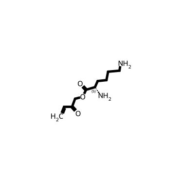 C=CC(=O)COC(=O)[C@@H](N)CCCCN